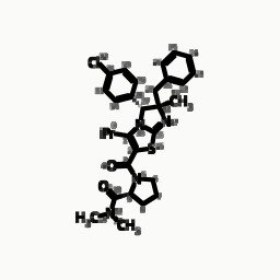 CC(C)C1=C(C(=O)N2CCC[C@H]2C(=O)N(C)C)SC2=N[C@@](C)(Cc3ccccc3)[C@@H](c3ccc(Cl)cc3)N21